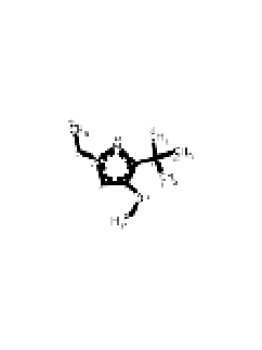 CCn1cc(OC)c(C(C)(C)C)n1